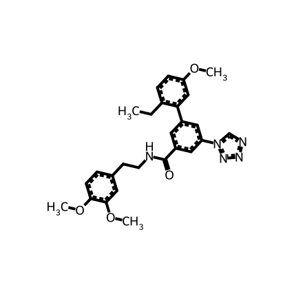 CCc1ccc(OC)cc1-c1cc(C(=O)NCCc2ccc(OC)c(OC)c2)cc(-n2cnnn2)c1